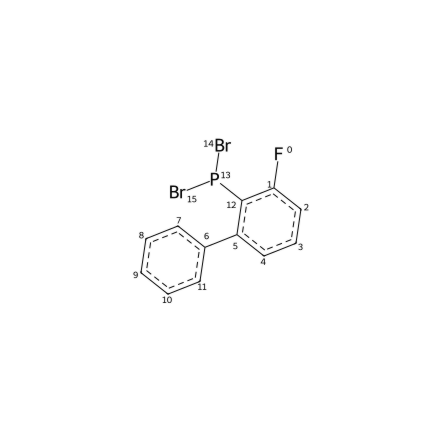 Fc1cccc(-c2ccccc2)c1P(Br)Br